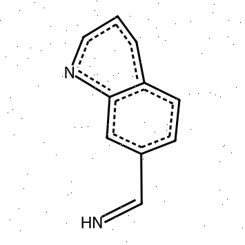 N=Cc1ccc2cccnc2c1